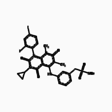 CNS(=O)(=O)Cc1cccc(Nc2c(C)c(=O)n(C)c3c2c(=O)n(C2CC2)c(=O)n3-c2ccc(I)cc2F)c1